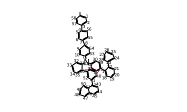 c1ccc(-c2ccc(-c3ccc(N(c4ccc(-c5ccccc5-c5ccccc5)cc4)c4ccccc4-c4cccc(-c5cccc6ccccc56)c4)cc3)cc2)cc1